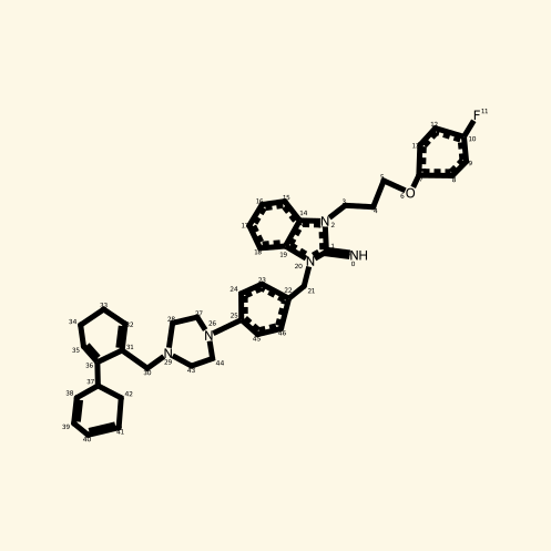 N=c1n(CCCOc2ccc(F)cc2)c2ccccc2n1Cc1ccc(N2CCN(CC3=CCCC=C3C3C=CC=CC3)CC2)cc1